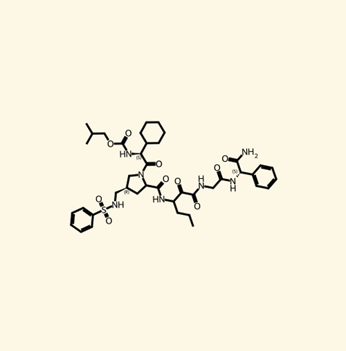 CCCC(NC(=O)C1C[C@@H](CNS(=O)(=O)c2ccccc2)CN1C(=O)[C@@H](NC(=O)OCC(C)C)C1CCCCC1)C(=O)C(=O)NCC(=O)N[C@H](C(N)=O)c1ccccc1